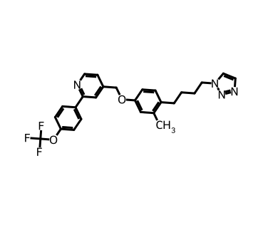 Cc1cc(OCc2ccnc(-c3ccc(OC(F)(F)F)cc3)c2)ccc1CCCCn1ccnn1